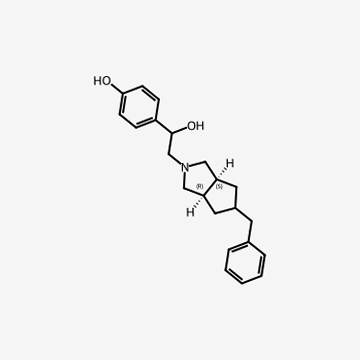 Oc1ccc(C(O)CN2C[C@H]3CC(Cc4ccccc4)C[C@H]3C2)cc1